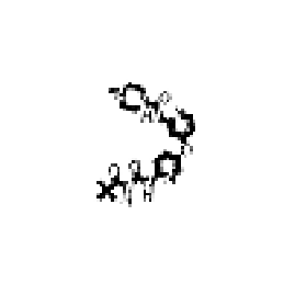 CN1CCN(C(=O)Nc2cc(Oc3ccc(NC(=O)NC(=O)C(C)(C)C)nc3)ccn2)CC1